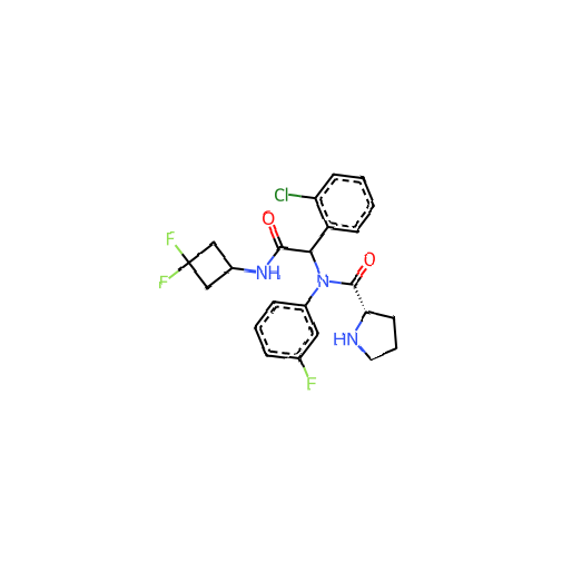 O=C(NC1CC(F)(F)C1)C(c1ccccc1Cl)N(C(=O)[C@@H]1CCCN1)c1cccc(F)c1